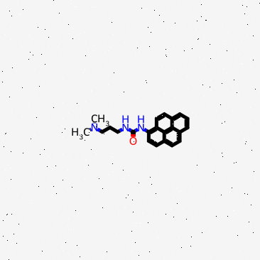 CN(C)CCCNC(=O)Nc1ccc2ccc3cccc4ccc1c2c34